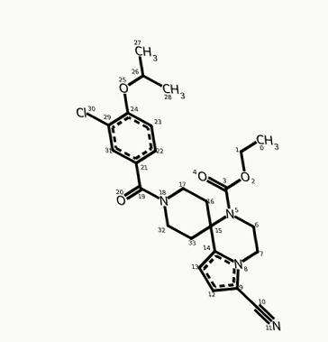 CCOC(=O)N1CCn2c(C#N)ccc2C12CCN(C(=O)c1ccc(OC(C)C)c(Cl)c1)CC2